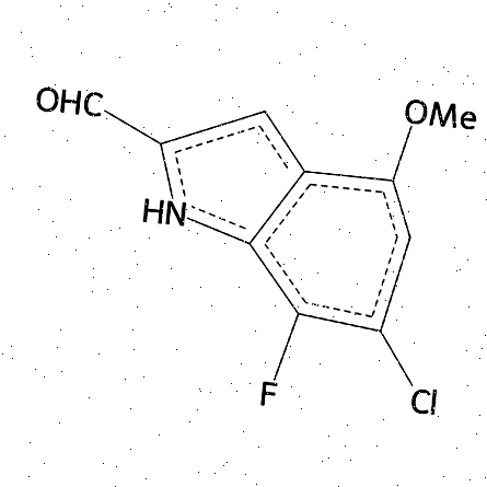 COc1cc(Cl)c(F)c2[nH]c(C=O)cc12